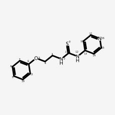 S=C(NCCOc1ccccc1)Nc1ccncc1